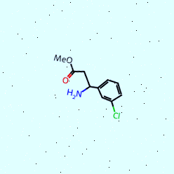 COC(=O)CC(N)c1cccc(Cl)c1